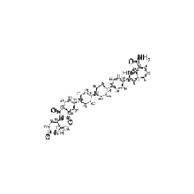 NC(=O)c1cccc2cc(-c3ccc(C4CCN(C5CCN(c6ccc7c(c6)C(=O)N(C6CCC(=O)NC6=O)C7=O)CC5)CC4)cc3)[nH]c12